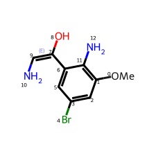 COc1cc(Br)cc(/C(O)=C\N)c1N